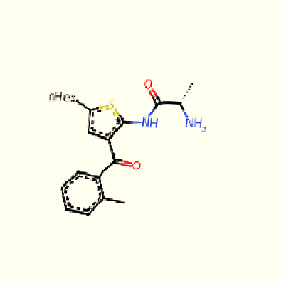 CCCCCCc1cc(C(=O)c2ccccc2C)c(NC(=O)[C@H](C)N)s1